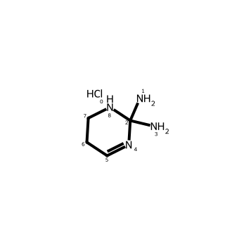 Cl.NC1(N)N=CCCN1